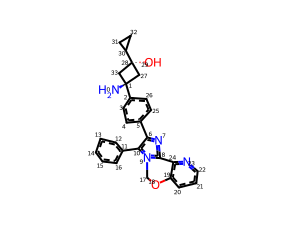 N[C@]1(c2ccc(-c3nc4n(c3-c3ccccc3)COc3cccnc3-4)cc2)C[C@](O)(C2CC2)C1